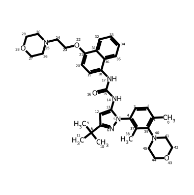 Cc1ccc(-n2nc(C(C)(C)C)cc2NC(=O)Nc2ccc(OCCN3CCOCC3)c3ccccc23)c(C)c1N1CCOCC1